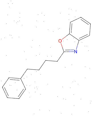 c1ccc(CCCCc2nc3ccccc3o2)cc1